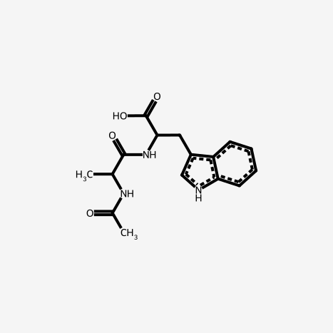 CC(=O)NC(C)C(=O)NC(Cc1c[nH]c2ccccc12)C(=O)O